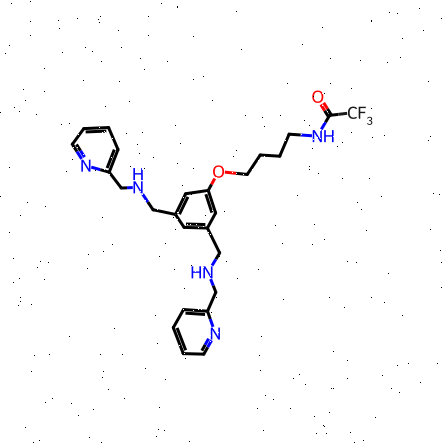 O=C(NCCCCOc1cc(CNCc2ccccn2)cc(CNCc2ccccn2)c1)C(F)(F)F